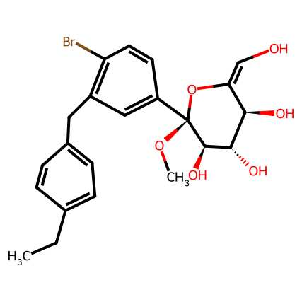 CCc1ccc(Cc2cc([C@]3(OC)O/C(=C/O)[C@@H](O)[C@H](O)[C@H]3O)ccc2Br)cc1